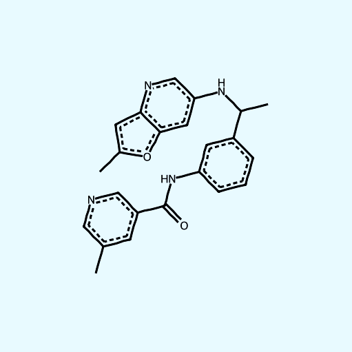 Cc1cncc(C(=O)Nc2cccc(C(C)Nc3cnc4cc(C)oc4c3)c2)c1